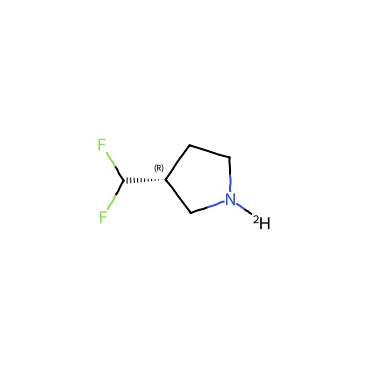 [2H]N1CC[C@@H](C(F)F)C1